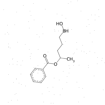 CC(CCCBO)OC(=O)c1ccccc1